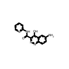 Nc1ccc2nnc(C(=O)Nc3ccccn3)c(O)c2c1